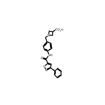 O=C(Nc1ccc(CN2CC(C(=O)O)C2)cc1)c1cc(-c2ccccc2)no1